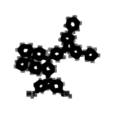 Cc1ccc2c(c1)c1cc(C)ccc1n2-c1ccc(N(c2ccc(-n3c4ccc(-c5ccccc5)cc4c4cc(-c5ccccc5)ccc43)cc2)c2cccc([Si](c3ccccc3)(c3ccccc3)c3ccccc3)c2)cc1